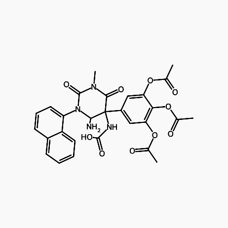 CC(=O)Oc1cc(C2(NC(=O)O)C(=O)N(C)C(=O)N(c3cccc4ccccc34)C2N)cc(OC(C)=O)c1OC(C)=O